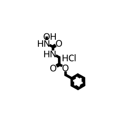 Cl.O=C(NO)NCC(=O)OCc1ccccc1